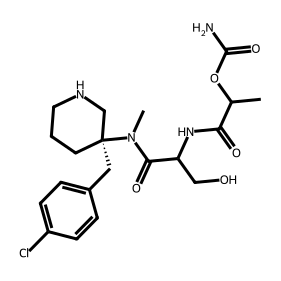 CC(OC(N)=O)C(=O)NC(CO)C(=O)N(C)[C@@]1(Cc2ccc(Cl)cc2)CCCNC1